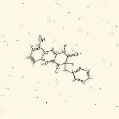 CN1C(=O)C(C)(Cc2ccccc2)N(C)C(=O)/C1=C\c1cccnc1O